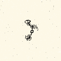 C=C(C)C(=O)NCc1ccc(/C(N)=C/N(N)CCOC2CCCCO2)cc1